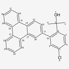 CC(C)(O)c1ccc(Cl)cc1-c1ccc2c3ccccc3c3ccccc3c2c1